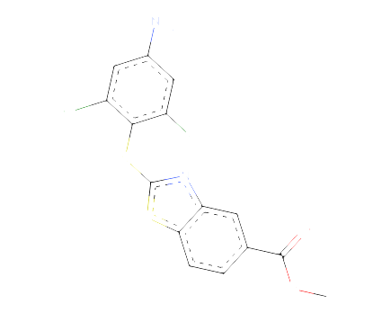 COC(=O)c1ccc2sc(Sc3c(Cl)cc(N)cc3Cl)nc2c1